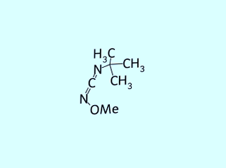 CON=C=NC(C)(C)C